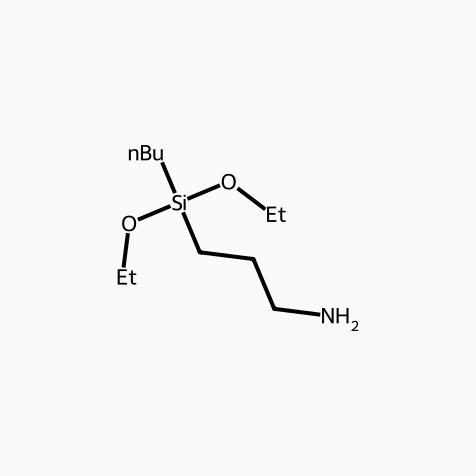 CCCC[Si](CCCN)(OCC)OCC